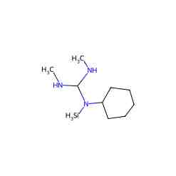 CNC(NC)N([SiH3])C1CCCCC1